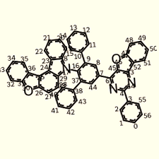 c1ccc(-c2nc(-c3cc(-c4ccccc4)c(-n4c5ccccc5c5c6c(ccc54)oc4ccccc46)c(-c4ccccc4)c3)c3oc4ccccc4c3n2)cc1